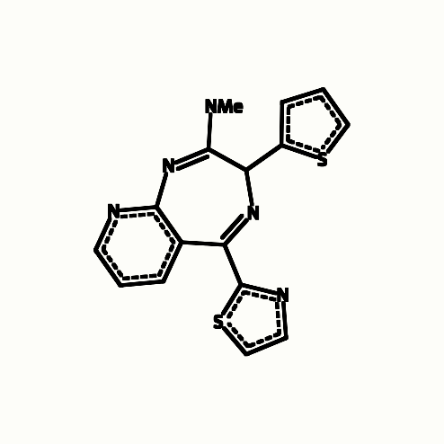 CNC1=Nc2ncccc2C(c2nccs2)=NC1c1cccs1